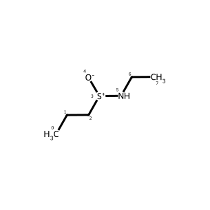 CCC[S+]([O-])NCC